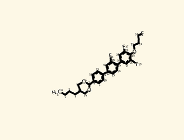 CCCCC1COC(c2ccc(-c3ccc(-c4cc(F)c(OCCCF)c(F)c4)c(F)c3)cc2)OC1